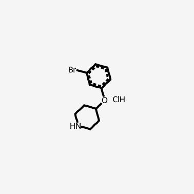 Brc1cccc(OC2CCNCC2)c1.Cl